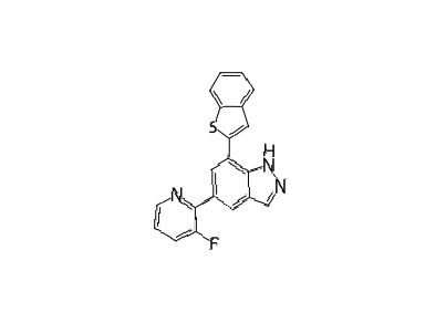 Fc1cccnc1-c1cc(-c2cc3ccccc3s2)c2[nH]ncc2c1